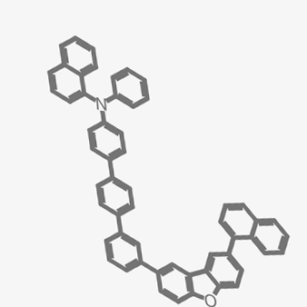 c1ccc(N(c2ccc(-c3ccc(-c4cccc(-c5ccc6oc7ccc(-c8cccc9ccccc89)cc7c6c5)c4)cc3)cc2)c2cccc3ccccc23)cc1